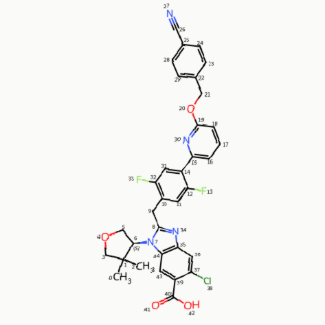 CC1(C)COC[C@H]1n1c(Cc2cc(F)c(-c3cccc(OCc4ccc(C#N)cc4)n3)cc2F)nc2cc(Cl)c(C(=O)O)cc21